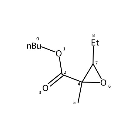 CCCCOC(=O)C1(C)OC1CC